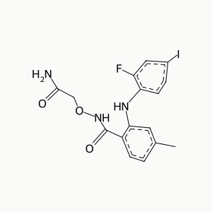 Cc1ccc(C(=O)NOCC(N)=O)c(Nc2ccc(I)cc2F)c1